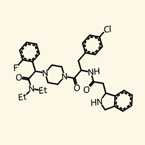 CCN(CC)C(=O)C(c1ccccc1F)N1CCN(C(=O)C(Cc2ccc(Cl)cc2)NC(=O)CC2NCc3ccccc32)CC1